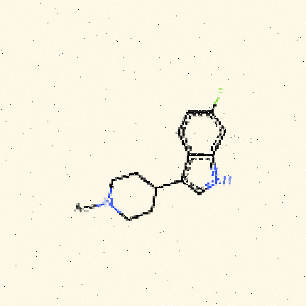 CC(=O)N1CCC(c2c[nH]c3cc(F)ccc23)CC1